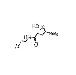 CN[C@@H](CCC(=O)NCCC(C)=O)C(=O)O